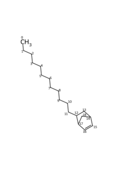 CCCCCCCCCCCCC1CC2C=CC1C2